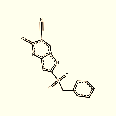 N#Cc1cn2nc(S(=O)(=O)Cc3ccccc3)sc2nc1=O